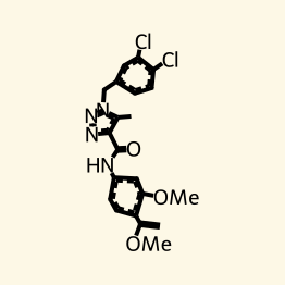 C=C(OC)c1ccc(NC(=O)c2nnn(Cc3ccc(Cl)c(Cl)c3)c2C)cc1OC